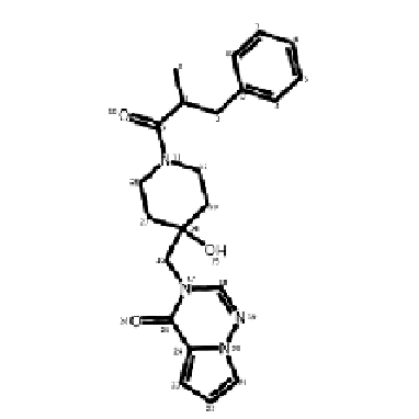 CC(Cc1ccccc1)C(=O)N1CCC(O)(Cn2cnn3cccc3c2=O)CC1